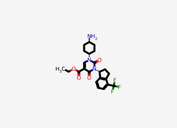 CCOC(=O)c1cn([C@H]2CC[C@H](N)CC2)c(=O)n([C@@H]2CCc3c2cccc3C(F)(F)F)c1=O